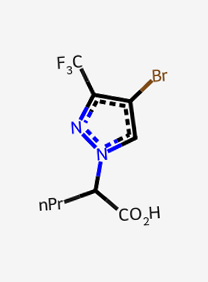 CCCC(C(=O)O)n1cc(Br)c(C(F)(F)F)n1